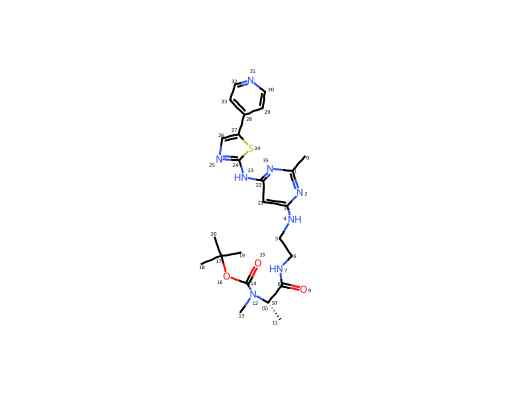 Cc1nc(NCCNC(=O)[C@H](C)N(C)C(=O)OC(C)(C)C)cc(Nc2ncc(-c3ccncc3)s2)n1